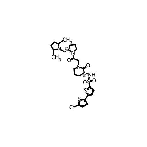 CC1CCC(C)N1C[C@@H]1CCCN1C(=O)CN1CCC[C@H](NS(=O)(=O)c2ccc(-c3ccc(Cl)s3)s2)C1=O